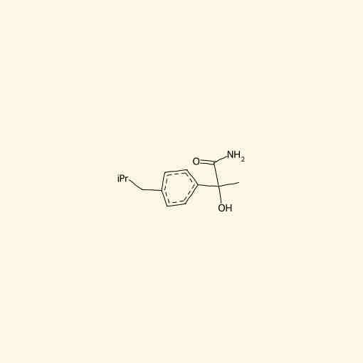 CC(C)Cc1ccc(C(C)(O)C(N)=O)cc1